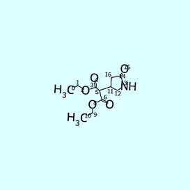 CCOC(=O)C(C(=O)OCC)C1CNC(=O)C1